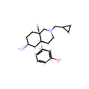 N[C@H]1CC[C@@H]2CN(CC3CC3)CC[C@@]2(c2cccc(O)c2)C1